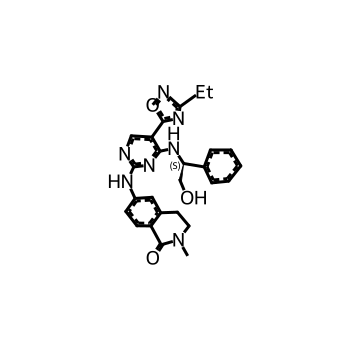 CCc1noc(-c2cnc(Nc3ccc4c(c3)CCN(C)C4=O)nc2N[C@H](CO)c2ccccc2)n1